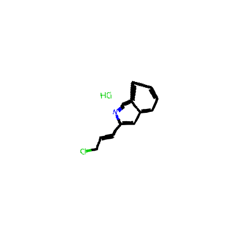 Cl.ClCC=Cc1cc2ccccc2cn1